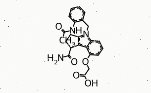 CC(=O)Nc1ccccc1Cn1c2c(c3c(OCC(=O)O)cccc31)C(C(N)=O)CC2